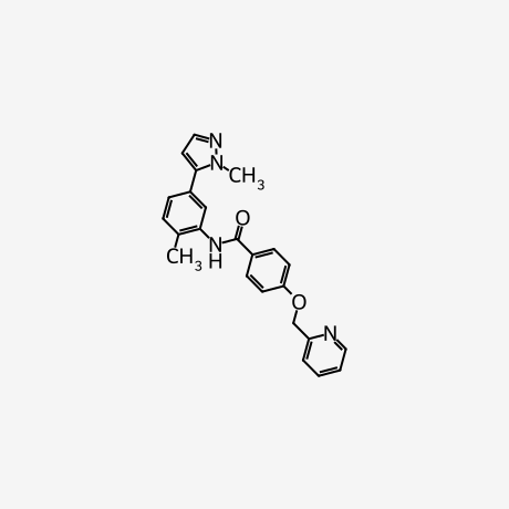 Cc1ccc(-c2ccnn2C)cc1NC(=O)c1ccc(OCc2ccccn2)cc1